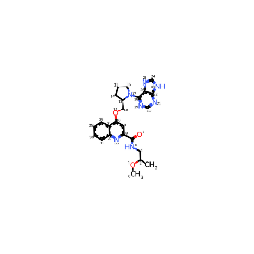 COC(C)CNC(=O)c1cc(OC[C@H]2CCCN2c2ncnc3[nH]cnc23)c2ccccc2n1